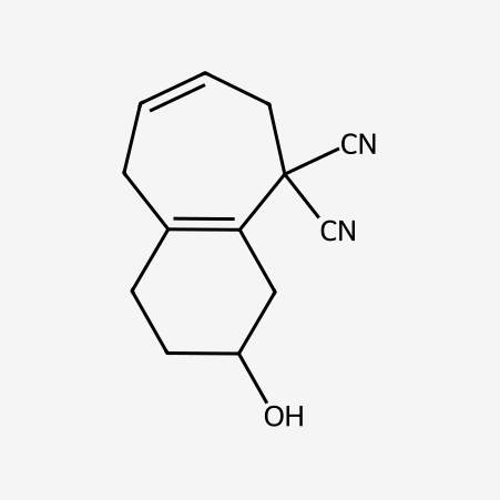 N#CC1(C#N)CC=CCC2=C1CC(O)CC2